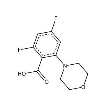 O=C(O)c1c(F)cc(F)cc1N1CCOCC1